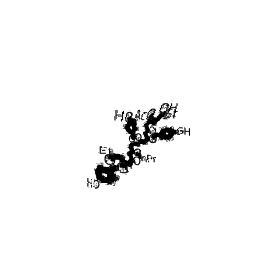 CCCC1OC(CC2CC(CC)OC(c3ccc(O)cc3)O2)CC(CC2CC(CC3CC(CC(CC(O)CC)OC(C)=O)OC(c4ccc(S)cc4)O3)OC(c3ccc(O)cc3)O2)O1